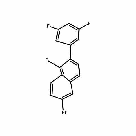 CCc1ccc2c(F)c(-c3cc(F)cc(F)c3)ccc2c1